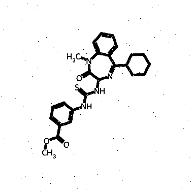 COC(=O)c1cccc(NC(=S)NC2N=C(C3CCCCC3)c3ccccc3N(C)C2=O)c1